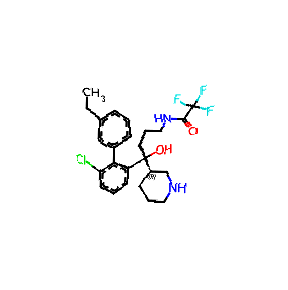 CCc1cccc(-c2c(Cl)cccc2C(O)(CCCNC(=O)C(F)(F)F)[C@@H]2CCCNC2)c1